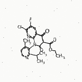 CCOC(=O)C1C(=O)c2cc(F)c(Cl)nc2N(c2c(C)ccnc2C(C)C)C1=O